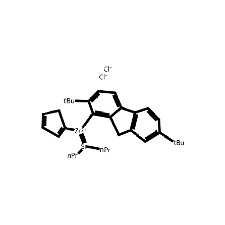 CCC[Si](CCC)=[Zr+2]([C]1=CC=CC1)[c]1c(C(C)(C)C)ccc2c1Cc1cc(C(C)(C)C)ccc1-2.[Cl-].[Cl-]